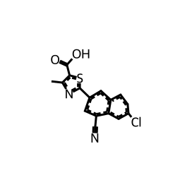 Cc1nc(-c2cc(C#N)c3cc(Cl)ccc3c2)sc1C(=O)O